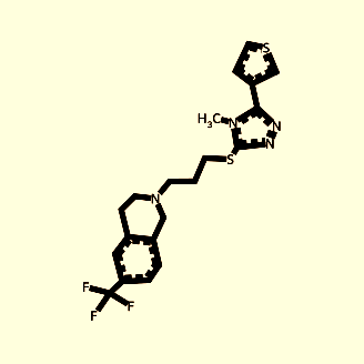 Cn1c(SCCCN2CCc3cc(C(F)(F)F)ccc3C2)nnc1-c1ccsc1